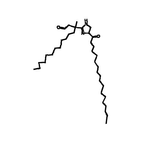 CCCCCCCCCCCCCCCCCC(=O)C1CNC(C(C)(CC=O)CCCCCCCCCCCC)=N1